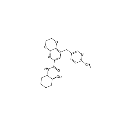 Cc1ccc(Cc2cc(C(=O)N[C@H]3CCCC[C@@H]3O)nc3c2OCCO3)cn1